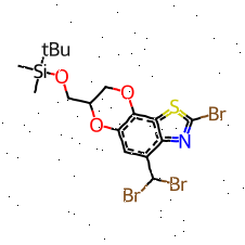 CC(C)(C)[Si](C)(C)OCC1COc2c(cc(C(Br)Br)c3nc(Br)sc23)O1